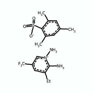 CCc1cc(C(F)(F)F)c[n+](N)c1N.Cc1cc(C)c(S(=O)(=O)[O-])c(C)c1